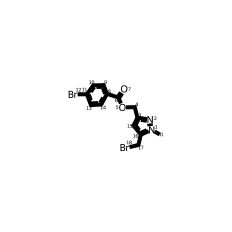 Cn1nc(COC(=O)c2ccc(Br)cc2)cc1CBr